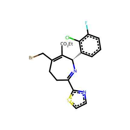 CCOC(=O)C1=C(CBr)CCC(c2nccs2)=N[C@H]1c1cccc(F)c1Cl